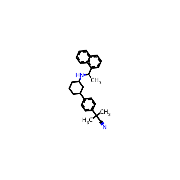 C[C@@H](NC1CCCC(c2ccc(C(C)(C)C#N)cc2)C1)c1cccc2ccccc12